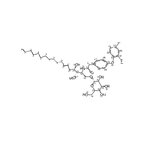 CCCCCCCCCCCCCC[C@@H](O)[C@@H](O)[C@H](CO[C@H]1OC(CO)[C@H](O)[C@H](O)C1O)NC(=O)Cc1ccc(Oc2ccc(C)cc2F)cc1